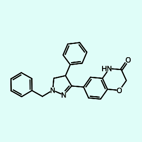 O=C1COc2ccc(C3=NN(Cc4ccccc4)CC3c3ccccc3)cc2N1